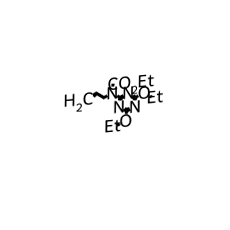 C=CCN(C(=O)OCC)c1nc(OCC)nc(OCC)n1